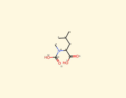 CC(C)CC(C(=O)O)N(C)C(=O)O